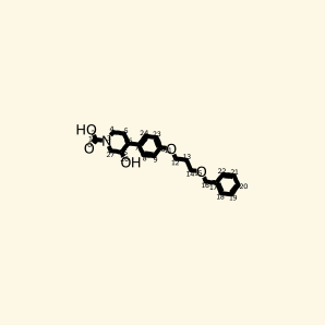 O=C(O)N1CCC(c2ccc(OCCCOCc3ccccc3)cc2)C(O)C1